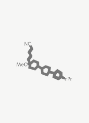 CCCc1ccc(C2CCC(C3CCC(C=CC=CC#N)(OC)CC3)CC2)cc1